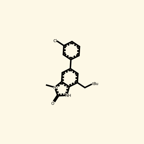 Cn1c(=O)[nH]c2c(CC(C)(C)C)cc(-c3cccc(Cl)c3)cc21